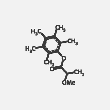 COC(C)C(=O)Oc1c(C)c(C)c(C)c(C)c1C